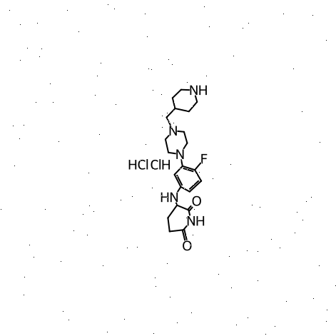 Cl.Cl.O=C1CCC(Nc2ccc(F)c(N3CCN(CC4CCNCC4)CC3)c2)C(=O)N1